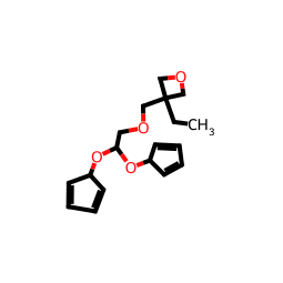 CCC1(COCC(OC2C=CC=C2)OC2C=CC=C2)COC1